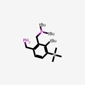 CC(C)(C)c1c([Si](C)(C)C)ccc(CP)c1CP(C(C)(C)C)C(C)(C)C